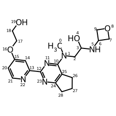 CN(CC(O)NC1COC1)c1nc(-c2cc(OCCO)ccn2)nc2c1CCC2